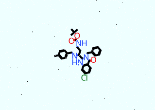 Cc1ccc(CNC(CCNC(=O)OC(C)(C)C)c2nc3cc(Cl)ccc3c(=O)n2Cc2ccccc2)cc1